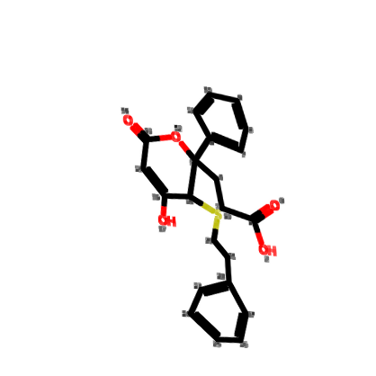 O=C(O)CCC1(c2ccccc2)OC(=O)C=C(O)C1SCCc1ccccc1